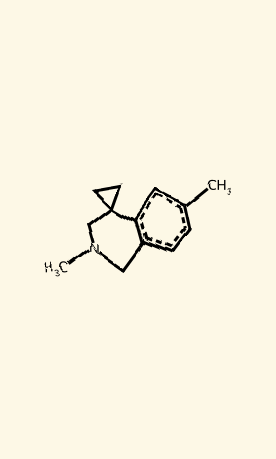 Cc1ccc2c(c1)C1(CC1)CN(C)C2